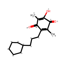 CC1=C(O)C(=O)C(C)=C(CCCC2CCCCC2)C1=O